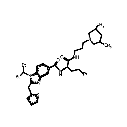 CCC(CC)n1c(Cc2cccs2)nc2cc(C(=O)NC(CCC(C)C)C(=O)NCCCN3CC(C)CC(C)C3)ccc21